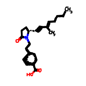 CCCC/C=C(C)/C=C/[C@H]1CCC(=O)N1CCc1ccc(C(=O)O)cc1